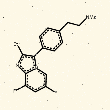 CCc1nc2c(F)cc(F)cn2c1-c1ccc(CCNC)cc1